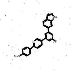 COc1ccc(-c2ccc(-c3cc(F)cc(-c4ccc5cc[nH]c5c4)c3)cn2)cc1